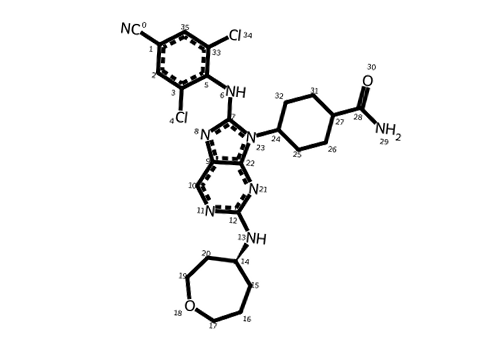 N#Cc1cc(Cl)c(Nc2nc3cnc(N[C@H]4CCCOCC4)nc3n2C2CCC(C(N)=O)CC2)c(Cl)c1